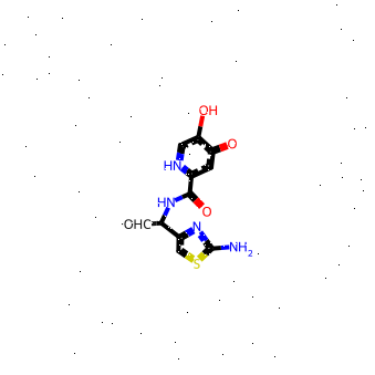 Nc1nc(C([C]=O)NC(=O)c2cc(=O)c(O)c[nH]2)cs1